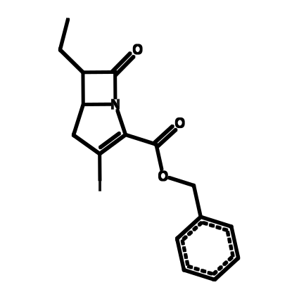 CCC1C(=O)N2C(C(=O)OCc3ccccc3)=C(I)CC12